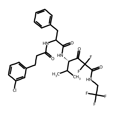 CC(C)[C@H](NC(=O)C(Cc1ccccc1)NC(=O)CCc1cccc(Cl)c1)C(=O)C(F)(F)C(=O)NCC(F)(F)F